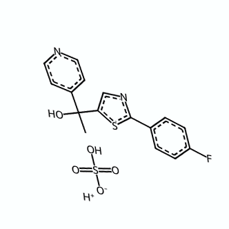 CC(O)(c1ccncc1)c1cnc(-c2ccc(F)cc2)s1.O=S(=O)([O-])O.[H+]